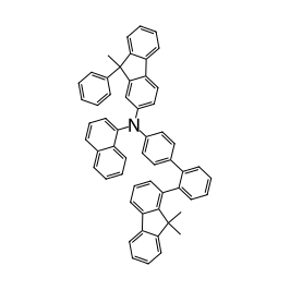 CC1(C)c2ccccc2-c2cccc(-c3ccccc3-c3ccc(N(c4ccc5c(c4)C(C)(c4ccccc4)c4ccccc4-5)c4cccc5ccccc45)cc3)c21